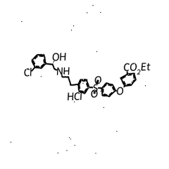 CCOC(=O)c1cccc(Oc2ccc(S(=O)(=O)c3ccc(CCCNC[C@@H](O)c4cccc(Cl)c4)cc3)cc2)c1.Cl